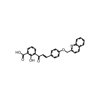 O=C(O)c1cccc(C(=O)C=Cc2ccc(OCc3ccc4ccccc4n3)cc2)c1O